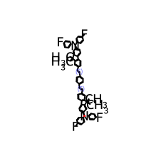 CC1(C)c2cc(/C=C/c3ccc(/C=C/c4ccc5c(c4)C(C)(C)c4cc(N(c6ccc(F)cc6)c6ccc(F)cc6)ccc4-5)cc3)ccc2-c2ccc(N(c3ccc(F)cc3)c3ccc(F)cc3)cc21